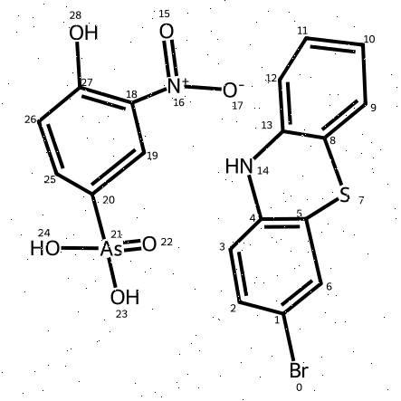 Brc1ccc2c(c1)Sc1ccccc1N2.O=[N+]([O-])c1cc([As](=O)(O)O)ccc1O